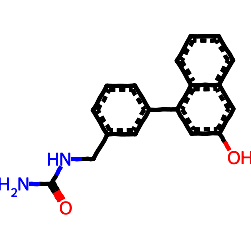 NC(=O)NCc1cccc(-c2cc(O)cc3ccccc23)c1